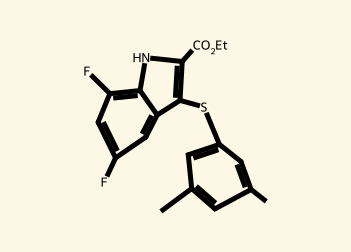 CCOC(=O)c1[nH]c2c(F)cc(F)cc2c1Sc1cc(C)cc(C)c1